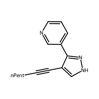 CCCCCC#Cc1c[nH]nc1-c1cccnc1